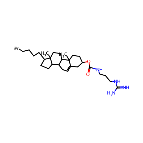 CC(C)CCCCC1CCC2C3CC=C4CC(OC(=O)NCCCNC(=N)N)CCC4(C)C3CCC12C